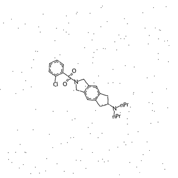 CCCN(CCC)C1Cc2cc3c(cc2C1)CN(S(=O)(=O)c1ccccc1Cl)C3